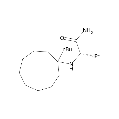 CCCCC1(N[C@H](C(N)=O)C(C)C)CCCCCCCC1